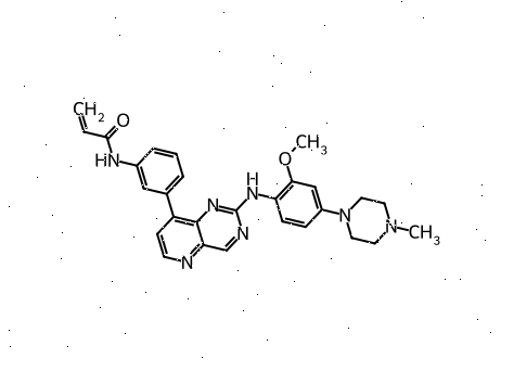 C=CC(=O)Nc1cccc(-c2ccnc3cnc(Nc4ccc(N5CCN(C)CC5)cc4OC)nc23)c1